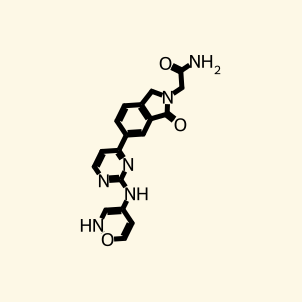 NC(=O)CN1Cc2ccc(-c3ccnc(NC4=CNOC=C4)n3)cc2C1=O